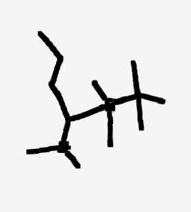 CCCC([Si](C)C)[Si](C)(C)C(C)(C)C